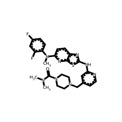 CN(C)C(=O)N1CCN(Cc2ccnc(Nc3nc4ccc(N(C)c5ccc(F)cc5F)nc4s3)c2)CC1